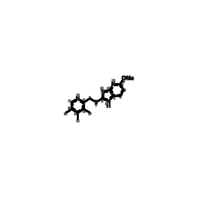 COc1ccc2[nH]c(SCc3ncc(C)c(C)c3C)nc2n1